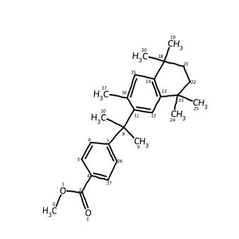 COC(=O)c1ccc(C(C)(C)c2cc3c(cc2C)C(C)(C)CCC3(C)C)cc1